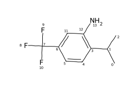 CC(C)c1ccc(C(F)(F)F)cc1N